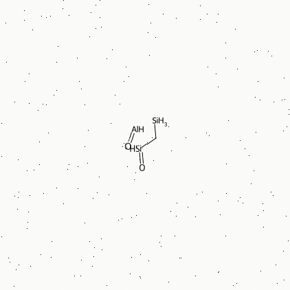 O=[SiH]C[SiH3].[O]=[AlH]